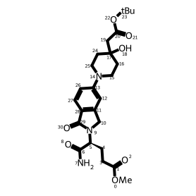 COC(=O)CC[C@@H](C(N)=O)N1Cc2cc(N3CCC(O)(CC(=O)OC(C)(C)C)CC3)ccc2C1=O